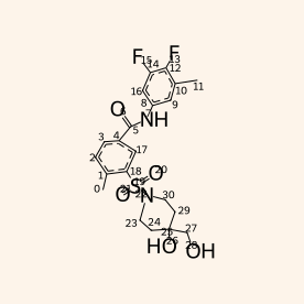 Cc1ccc(C(=O)Nc2cc(C)c(F)c(F)c2)cc1S(=O)(=O)N1CCC(O)(CO)CC1